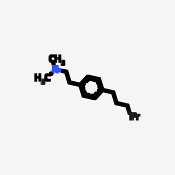 CC(C)CCCc1ccc(CCN(C)C)cc1